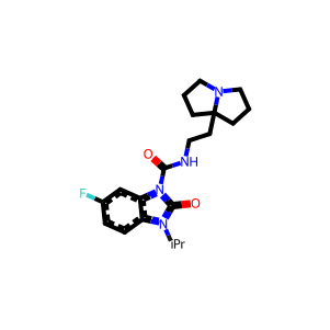 CC(C)n1c(=O)n(C(=O)NCCC23CCCN2CCC3)c2cc(F)ccc21